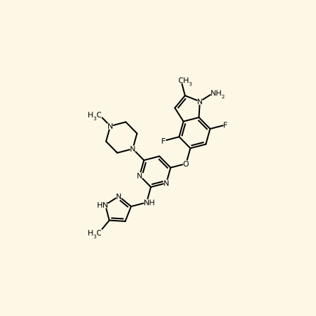 Cc1cc(Nc2nc(Oc3cc(F)c4c(cc(C)n4N)c3F)cc(N3CCN(C)CC3)n2)n[nH]1